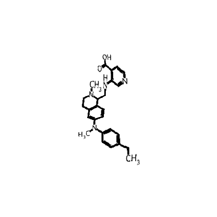 CCc1ccc(N(C)c2ccc3c(c2)CCN(C)C3CNc2cnccc2C(=O)O)cc1